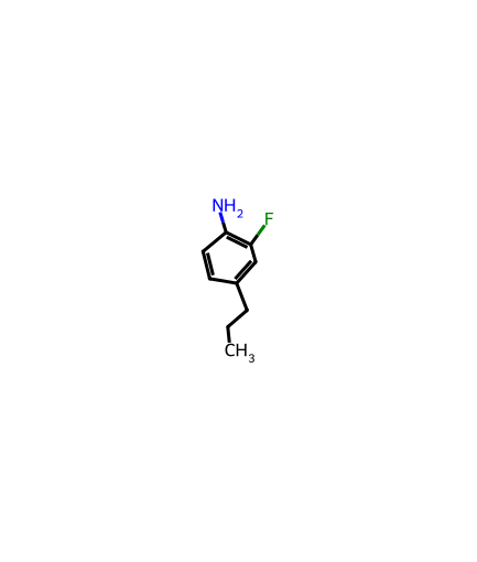 CCCc1ccc(N)c(F)c1